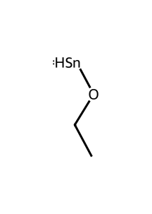 CC[O][SnH]